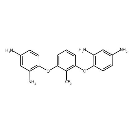 Nc1ccc(Oc2cccc(Oc3ccc(N)cc3N)c2C(F)(F)F)c(N)c1